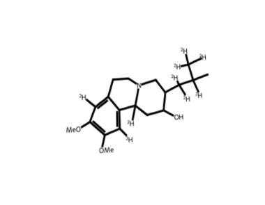 [2H]c1c2c(c([2H])c(OC)c1OC)C1([2H])CC(O)C(C([2H])([2H])C([2H])(C)C([2H])([2H])[2H])CN1CC2